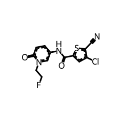 N#Cc1sc(C(=O)Nc2ccc(=O)n(CCF)c2)cc1Cl